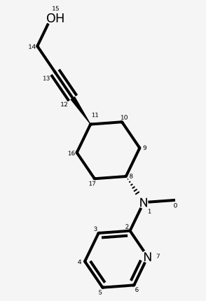 CN(c1ccccn1)[C@H]1CC[C@H](C#CCO)CC1